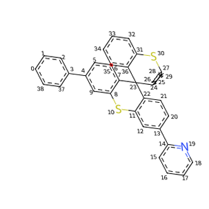 c1ccc(-c2ccc3c(c2)Sc2cc(-c4ccccn4)ccc2C32c3ccccc3Sc3ccccc32)cc1